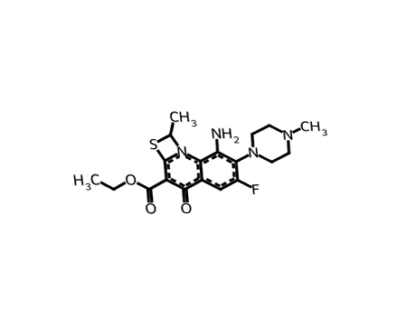 CCOC(=O)c1c2n(c3c(N)c(N4CCN(C)CC4)c(F)cc3c1=O)C(C)S2